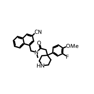 COc1ccc(C2(CC(=O)N(C)Cc3cc(C#N)cc4ccccc34)CCNCC2)cc1F